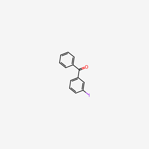 O=C(c1ccccc1)c1cccc(I)c1